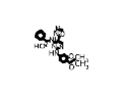 CC1(C)Oc2cc(Nc3ncc(-c4nnco4)c(N[C@H](CO)c4ccccc4)n3)ccc2C1=O